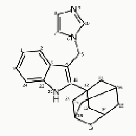 c1ccc2c(Cn3ccnc3)c(C34CC5CC(CC(C5)C3)C4)[nH]c2c1